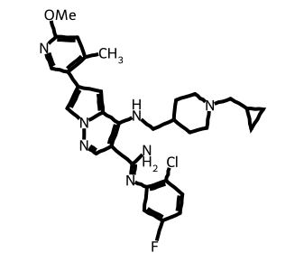 COc1cc(C)c(-c2cc3c(NCC4CCN(CC5CC5)CC4)c(/C(N)=N/c4cc(F)ccc4Cl)cnn3c2)cn1